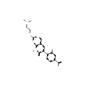 COn1c(=O)c(-c2ccc(C(N)=O)cc2Cl)cc2cnc(NCCN(C)C)nc21